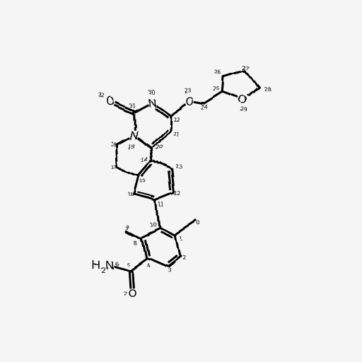 Cc1ccc(C(N)=O)c(C)c1-c1ccc2c(c1)CCn1c-2cc(OCC2CCCO2)nc1=O